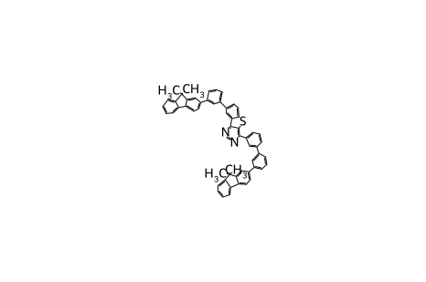 CC1(C)c2ccccc2-c2ccc(-c3cccc(-c4cccc(-c5ncnc6c5sc5ccc(-c7cccc(-c8ccc9c(c8)C(C)(C)c8ccccc8-9)c7)cc56)c4)c3)cc21